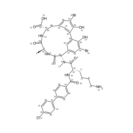 C[C@@H]1NC(=O)[C@@H](N(C)C(=O)[C@H](CCCCN)NC(=O)c2ccc(-c3ccc(Cl)cc3)cc2)c2cc(Br)c(O)c(c2)-c2cc(cc(Br)c2O)C[C@@H](C(=O)O)NC1=O